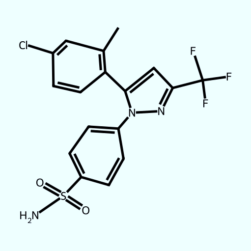 Cc1cc(Cl)ccc1-c1cc(C(F)(F)F)nn1-c1ccc(S(N)(=O)=O)cc1